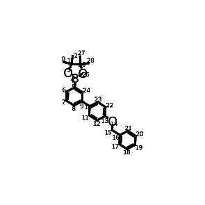 CC1(C)OB(c2cccc(-c3ccc(OCc4ccccc4)cc3)c2)OC1(C)C